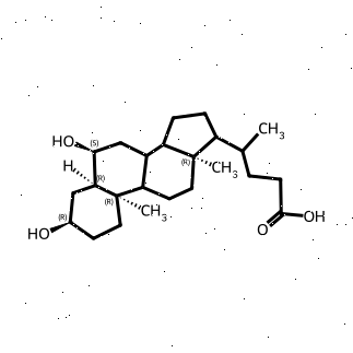 CC(CCC(=O)O)C1CCC2C3C[C@H](O)[C@@H]4C[C@H](O)CC[C@]4(C)C3CC[C@]12C